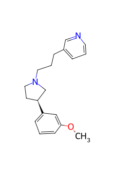 COc1cccc([C@H]2CCN(CCCc3cccnc3)C2)c1